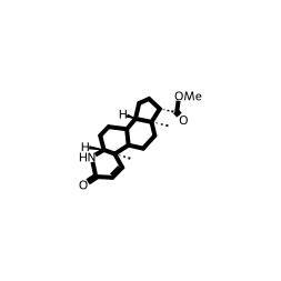 COC(=O)[C@H]1CC[C@H]2C3CC[C@H]4NC(=O)C=C[C@]4(C)C3CC[C@]12C